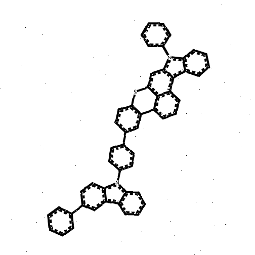 c1ccc(-c2ccc3c(c2)c2ccccc2n3-c2ccc(-c3ccc4c(c3)-c3cccc5c3c(cc3c5c5ccccc5n3-c3ccccc3)S4)cc2)cc1